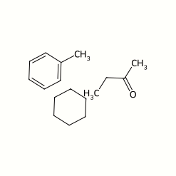 C1CCCCC1.CCC(C)=O.Cc1ccccc1